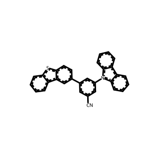 N#Cc1cc(-c2ccc3sc4ccccc4c3c2)cc(-n2c3ccccc3c3ccccc32)c1